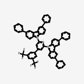 FC(F)(F)c1cc(-c2cc(-n3c4ccc(-c5ccccc5)cc4c4cc(-c5ccccc5)ccc43)nc(-n3c4ccc(-c5ccccc5)cc4c4cc(-c5ccccc5)ccc43)c2)cc(C(F)(F)F)c1